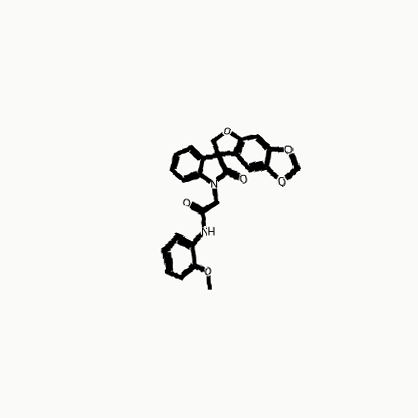 COc1ccccc1NC(=O)CN1C(=O)C2(COc3cc4c(cc32)OCO4)c2ccccc21